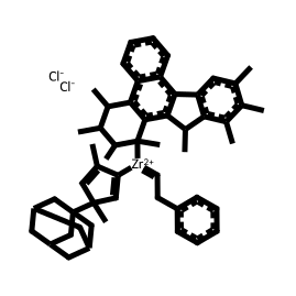 CC1=CC(C)(C23CC4CC(CC(C4)C2)C3)C=[C]1[Zr+2](=[CH]Cc1ccccc1)[C]1(C)c2c3c(c4ccccc4c2C(C)C(C)C1C)-c1cc(C)c(C)c(C)c1C3C.[Cl-].[Cl-]